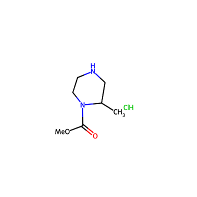 COC(=O)N1CCNCC1C.Cl